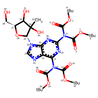 CC(C)(C)OC(=O)N(C(=O)OC(C)(C)C)c1nc(N(C(=O)OC(C)(C)C)C(=O)OC(C)(C)C)c2ncn([C@@H]3O[C@H](CO)C(O)C3(C)O)c2n1